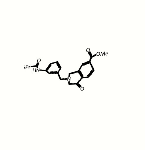 COC(=O)c1ccc2c(c1)CN(Cc1cccc(NC(=O)C(C)C)c1)CC2=O